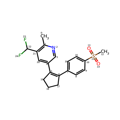 Cc1ncc(C2=C(c3ccc(S(C)(=O)=O)cc3)CCC2)cc1C(F)F